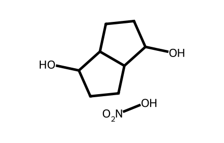 O=[N+]([O-])O.OC1CCC2C(O)CCC12